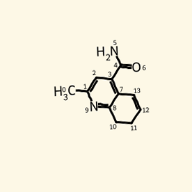 Cc1cc(C(N)=O)c2c(n1)CCC=C2